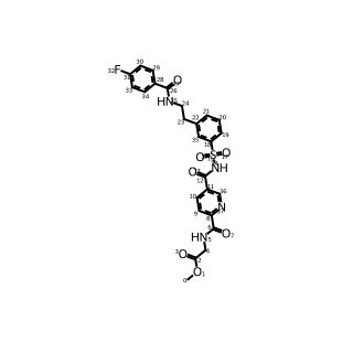 COC(=O)CNC(=O)c1ccc(C(=O)NS(=O)(=O)c2cccc(CCNC(=O)c3ccc(F)cc3)c2)cn1